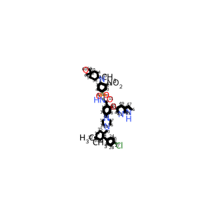 CN(c1ccc(S(=O)(=O)NC(=O)c2ccc(N3CCN(CC4=C(c5ccc(Cl)cc5)CC(C)(C)CC4)CC3)cc2Oc2cnc3[nH]ccc3c2)cc1[N+](=O)[O-])C1CCC2(CC1)COC2